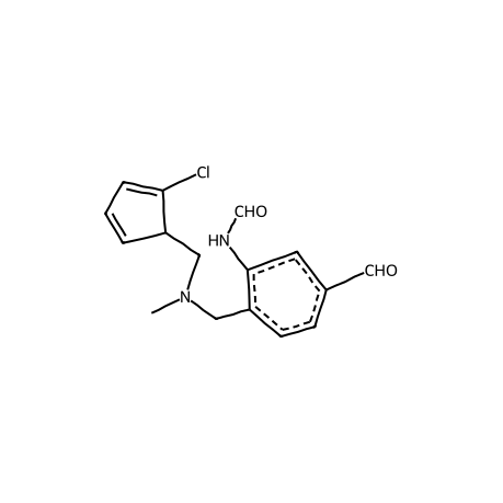 CN(Cc1ccc(C=O)cc1NC=O)CC1C=CC=C1Cl